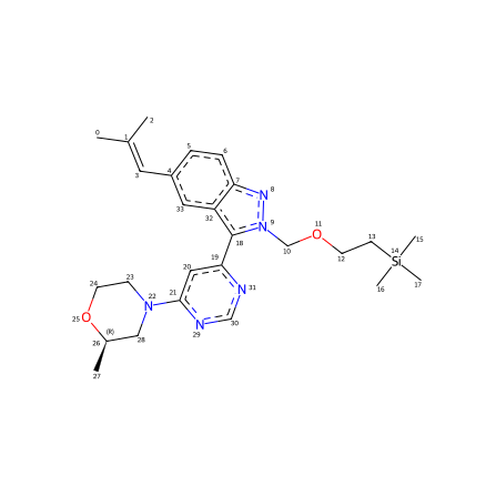 CC(C)=Cc1ccc2nn(COCC[Si](C)(C)C)c(-c3cc(N4CCO[C@H](C)C4)ncn3)c2c1